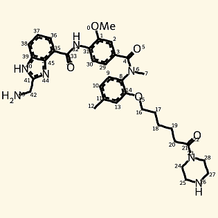 COc1cc(C(=O)N(C)c2ccc(C)cc2OCCCCCC(=O)N2CCNCC2)ccc1NC(=O)c1cccc2[nH]c(CN)nc12